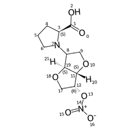 O=C(O)[C@@H]1CCCN1C1CO[C@@H]2[C@H](O[N+](=O)[O-])CO[C@@H]12